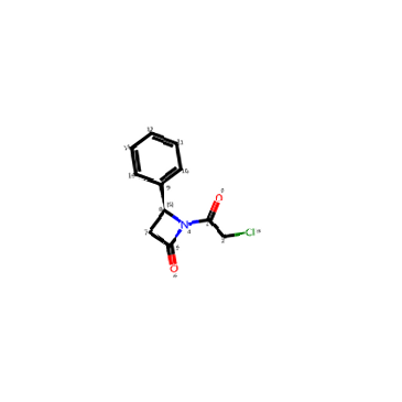 O=C(CCl)N1C(=O)C[C@H]1c1ccccc1